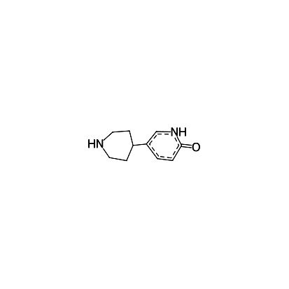 O=c1ccc(C2CCNCC2)c[nH]1